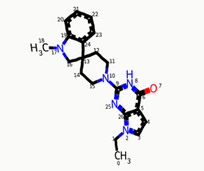 CCn1ccc2c(=O)[nH]c(N3CCC4(CC3)CN(C)c3ccccc34)nc21